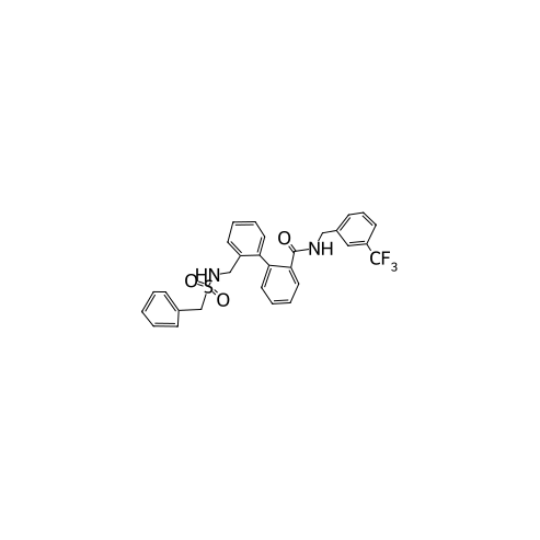 O=C(NCc1cccc(C(F)(F)F)c1)c1ccccc1-c1ccccc1CNS(=O)(=O)Cc1ccccc1